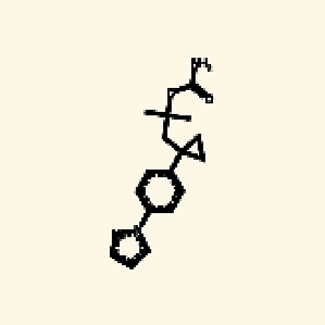 CC(C)(CC1(c2ccc(-n3cccn3)cc2)CC1)OC(N)=O